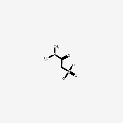 CN(C)C(=O)CP(=O)(Cl)Cl